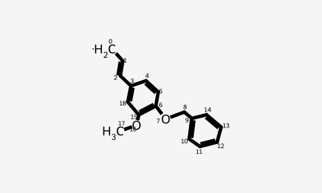 [CH2]C=Cc1ccc(OCc2ccccc2)c(OC)c1